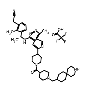 Cc1c(CC#N)cccc1[C@@H](C)Nc1nnc(C)c2cnc(C3CCN(C(=O)C4CCN(CC5CCC6(CCNCC6)CC5)CC4)CC3)cc12.O=C(O)C(F)(F)F